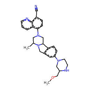 COCC1CN(c2ccc3c(c2)CN2C(C)CN(c4ccc(C#N)c5ncccc45)CC32)CCN1